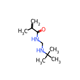 C=C(C)C(=O)NCNC(C)(C)C